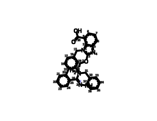 CCOc1nc2cccc(C(=O)O)c2n1Cc1ccc(-c2ccccc2/C(=N/N)N(N)Cc2ccccc2)cc1